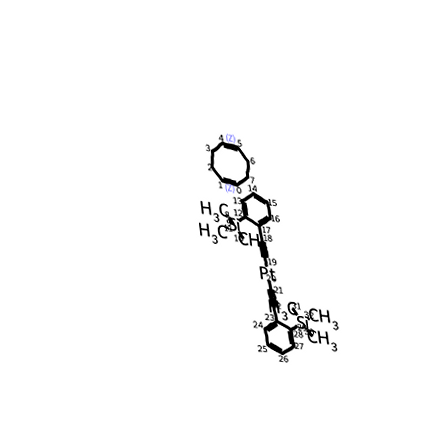 C1=C\CC/C=C\CC/1.C[Si](C)(C)c1ccccc1C#[C][Pt][C]#Cc1ccccc1[Si](C)(C)C